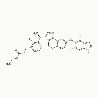 CCOC(=O)CCc1cccc([C@@H](C)c2cnc3n2CCc2ccc(Oc4c(F)cc5[nH]ccc5c4F)cc2-3)c1F